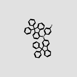 Fc1ccc(N(c2ccc3c(c2)C(c2ccccc2)(c2ccccc2)c2ccccc2-3)c2cccc3c2-c2ccccc2C3(c2ccccc2)c2ccccc2)cc1